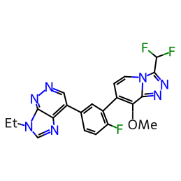 CCn1cnc2c(-c3ccc(F)c(-c4ccn5c(C(F)F)nnc5c4OC)c3)cnnc21